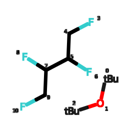 CC(C)(C)OC(C)(C)C.FCC(F)C(F)CF